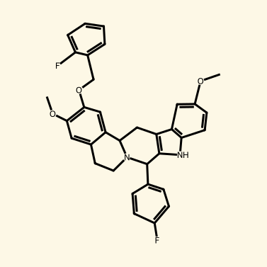 COc1ccc2[nH]c3c(c2c1)CC1c2cc(OCc4ccccc4F)c(OC)cc2CCN1C3c1ccc(F)cc1